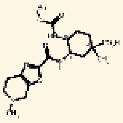 CN1CCc2nc(C(=O)N[C@@H]3C[C@](C)(C(=O)O)CC[C@@H]3NC(=O)OC(C)(C)C)sc2C1